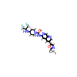 Cc1ncc(-c2cnc3cnc(NC(=O)N4CCC(NC(CF)CF)CC4)cc3c2)o1